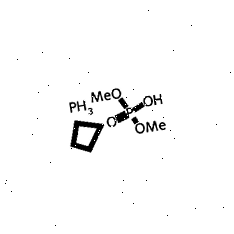 C1CCC1.COP(=O)(O)OC.P